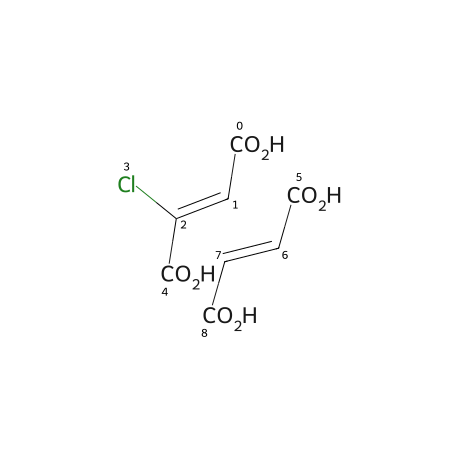 O=C(O)/C=C(\Cl)C(=O)O.O=C(O)/C=C/C(=O)O